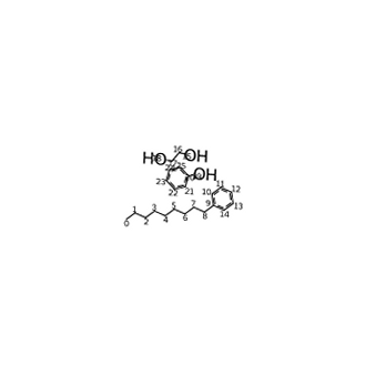 CCCCCCCCCc1ccccc1.OCCO.Oc1ccccc1